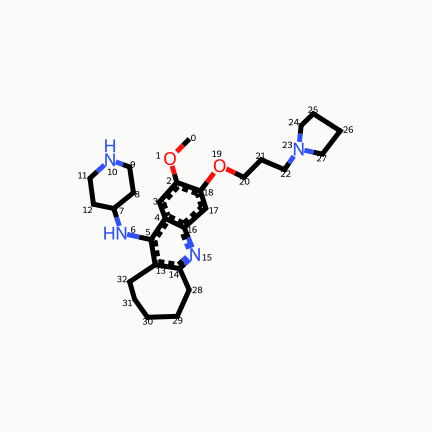 COc1cc2c(NC3CCNCC3)c3c(nc2cc1OCCCN1CCCC1)CCCCC3